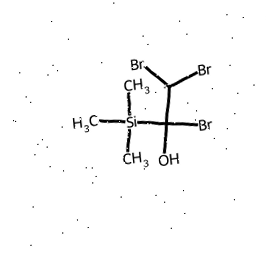 C[Si](C)(C)C(O)(Br)[C](Br)Br